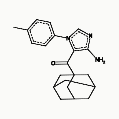 Cc1ccc(-n2cnc(N)c2C(=O)C23CC4CC(CC(C4)C2)C3)cc1